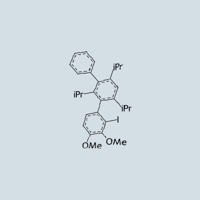 COc1ccc(-c2c(C(C)C)cc(C(C)C)c(-c3ccccc3)c2C(C)C)c(I)c1OC